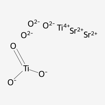 [O-2].[O-2].[O-2].[O]=[Ti]([O-])[O-].[Sr+2].[Sr+2].[Ti+4]